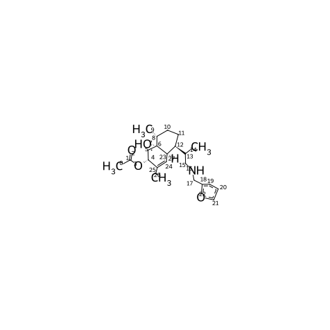 CC(=O)O[C@@H]1[CH][C@@]2(O)[C@H](C)CC[C@@H](C(C)CNCc3ccco3)[C@H]2C=C1C